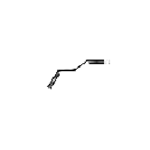 C=CCC=[N-].[Li+]